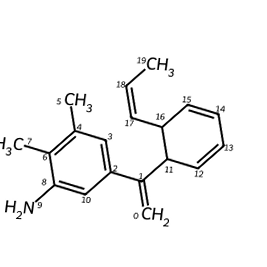 C=C(c1cc(C)c(C)c(N)c1)C1C=CC=CC1/C=C\C